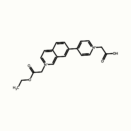 CCOC(=O)C[n+]1ccc2ccc(-c3cc[n+](CC(=O)O)cc3)cc2c1